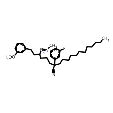 CCCCCCCCCCCCC(C#N)(CCCC(CCc1cccc(OC)c1)/N=N/C)c1cccc(F)c1